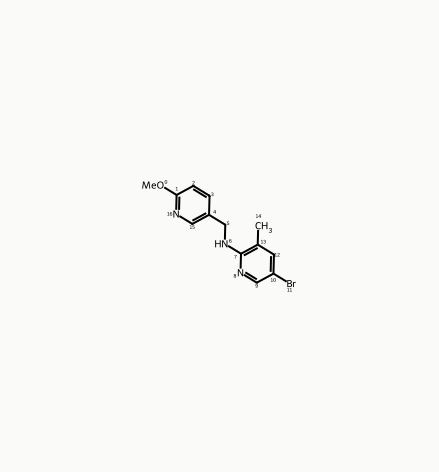 COc1ccc(CNc2ncc(Br)cc2C)cn1